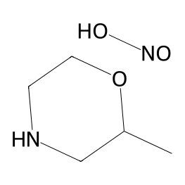 CC1CNCCO1.O=NO